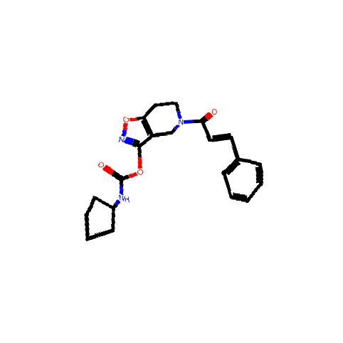 O=C(NC1CCCC1)Oc1noc2c1CN(C(=O)C=Cc1ccccc1)CC2